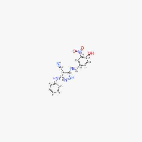 N#Cc1c(Nc2ccccc2)n[nH]c1/N=C/c1ccc(O)c([N+](=O)[O-])c1